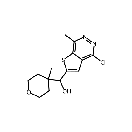 Cc1nnc(Cl)c2cc(C(O)C3(C)CCOCC3)sc12